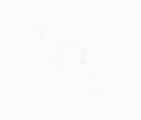 C=CC(=O)N1CCN(c2ncnc3c(Oc4c(C)c(Cl)cc5[nH]ncc45)nc(Cl)cc23)CC1